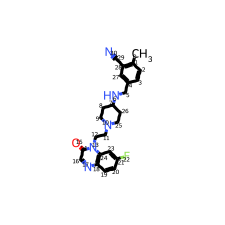 Cc1ccc(CNC2CCN(CCn3c(=O)cnc4ccc(F)cc43)CC2)cc1C#N